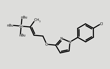 CCC[CH2][Sn]([CH2]CCC)([CH2]CCC)/[C](C)=C/COc1ccn(-c2ccc(Cl)cc2)n1